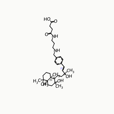 CC1(C)CCC[C@]2(C)[C@@H](CC[C@@](C)(O)/C=C/c3ccc(CNCCCNC(=O)CCC(=O)O)cc3)[C@](C)(O)CC[C@@H]12